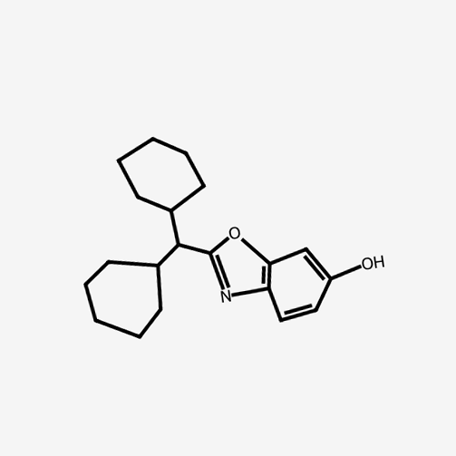 Oc1ccc2nc(C(C3CCCCC3)C3CCCCC3)oc2c1